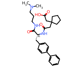 CN(C)CCCNC(=O)[C@@H](Cc1ccc(-c2ccccc2)cc1)NC(=O)CC1(CC(=O)O)CCCC1